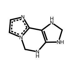 c1cn2c(n1)C1=C(NCN1)NC2